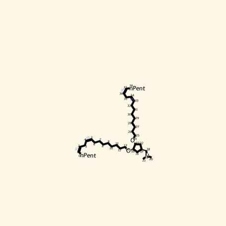 CCCCC/C=C\C/C=C\CCCCCCCCO[C@H]1C[C@H](CN(C)C)C[C@H]1OCCCCCCCC/C=C\C/C=C\CCCCC